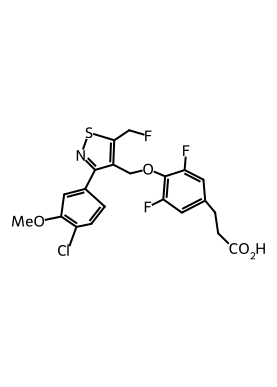 COc1cc(-c2nsc(CF)c2COc2c(F)cc(CCC(=O)O)cc2F)ccc1Cl